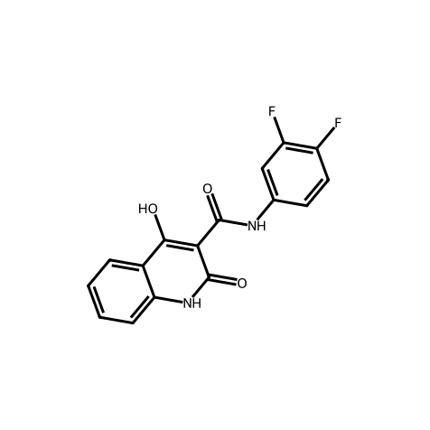 O=C(Nc1ccc(F)c(F)c1)c1c(O)c2ccccc2[nH]c1=O